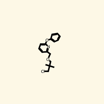 CC(C)(CCl)COCc1cccc(Oc2ccccc2)n1